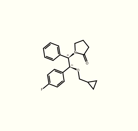 O=C1CCCN1[C@H](c1ccccc1)[C@@H](OCC1CC1)c1ccc(F)cc1